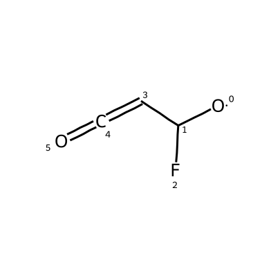 [O]C(F)C=C=O